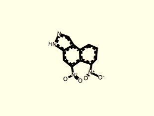 O=[N+]([O-])c1cccc2c1c([N+](=O)[O-])cc1[nH]ncc12